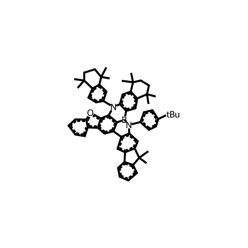 CC(C)(C)c1ccc(N2B3c4cc5c(cc4N(c4ccc6c(c4)C(C)(C)CCC6(C)C)c4c3c(cc3c4oc4ccccc43)-c3cc4c(cc32)C(C)(C)c2ccccc2-4)C(C)(C)CCC5(C)C)cc1